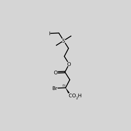 CS(C)(CI)CCOC(=O)C[C@H](Br)C(=O)O